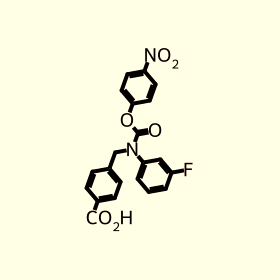 O=C(O)c1ccc(CN(C(=O)Oc2ccc([N+](=O)[O-])cc2)c2cccc(F)c2)cc1